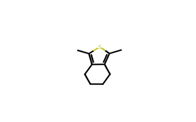 Cc1sc(C)c2c1CCCC2